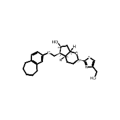 OCc1csc([C@H]2CC[C@@H]3[C@@H](COc4ccc5c(c4)CCCCC5)[C@@H](O)C[C@@H]3O2)n1